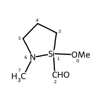 CO[Si]1(C=O)CCCN1C